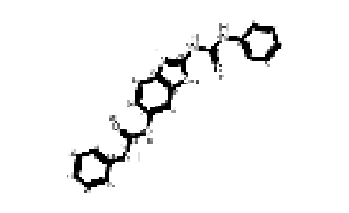 O=C(Nc1ccccc1)Nc1nc2ccc(OC(=O)Nc3ccccc3)cc2s1